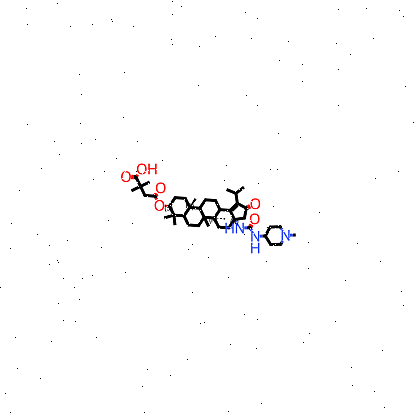 CC(C)C1=C2C3CCC4C(C)(CCC5C(C)(C)[C@@H](OC(=O)CC(C)(C)C(=O)O)CC[C@@]54C)[C@]3(C)CC[C@@]2(NC(=O)NC2CCN(C)CC2)CC1=O